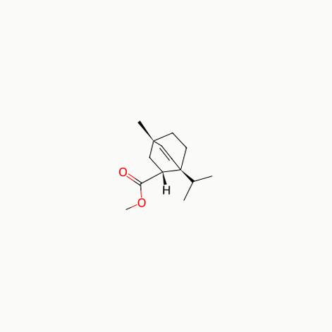 COC(=O)[C@@H]1C[C@@]2(C)C=C[C@]1(C(C)C)CC2